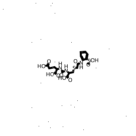 O=C(O)CCC(NC(=O)NC(CSCC(=O)Nc1ccccc1S(=O)O)C(=O)O)C(=O)O